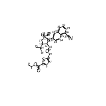 CCOC(=O)c1ccc(COCC2C(C(C)C)CS(=O)(=O)N2c2ccc3c(C#N)cccc3c2)s1